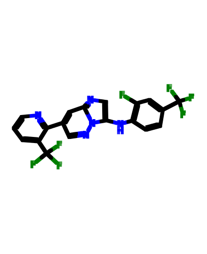 Fc1cc(C(F)(F)F)ccc1Nc1cnc2cc(-c3ncccc3C(F)(F)F)cnn12